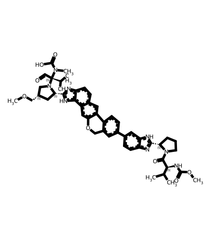 COC[C@H]1C[C@@H](c2nc3ccc4cc5c(cc4c3[nH]2)OCc2cc(-c3ccc4nc([C@@H]6CCCN6C(=O)[C@@H](NC(=O)OC)C(C)C)[nH]c4c3)ccc2-5)N([C@@](C=O)(C(C)C)N(C)C(=O)O)C1